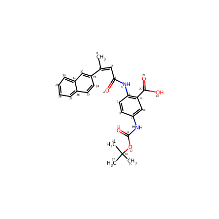 C/C(=C/C(=O)Nc1ccc(NC(=O)OC(C)(C)C)cc1C(=O)O)c1ccc2ccccc2c1